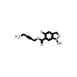 CCC#CCOC(=O)c1cc2c(cc1F)COB2O